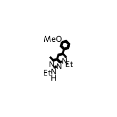 CCNc1nc(C)c2c(n1)N(CC)CC(c1cccc(OC)c1)=C2